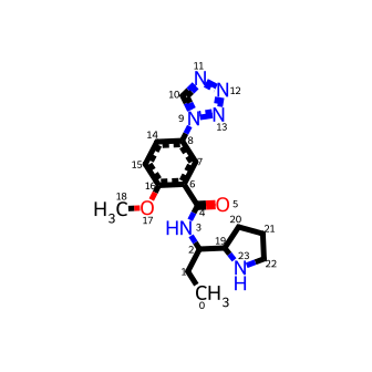 CCC(NC(=O)c1cc(-n2cnnn2)ccc1OC)C1CCCN1